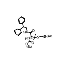 CC(=O)NCSC(C)(C)[C@H](NC(=O)OC(C)(C)C)C(=O)NCC(c1ccccc1)c1ccccc1